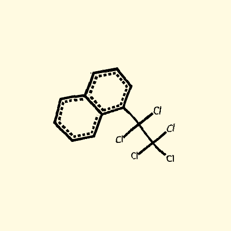 ClC(Cl)(Cl)C(Cl)(Cl)c1cc[c]c2ccccc12